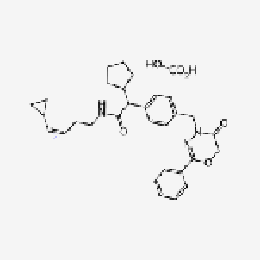 O=C(NCC/C=C\C1CC1)C(c1ccc(CN2N=C(c3ccccc3)OCC2=O)cc1)C1CCCC1.O=C(O)O